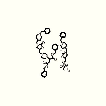 CS(=O)(=O)OCC1CN(CC2CCN(Cc3ccccc3)CC2)C(=O)O1.O=C(CC(C(=O)OCc1ccccc1)N1CCN(CC2CN(CC3CCN(Cc4ccccc4)CC3)C(=O)O2)CC1)OCc1ccccc1